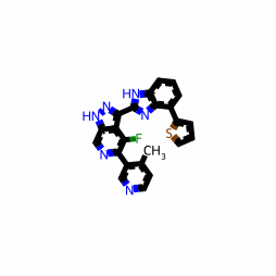 Cc1ccncc1-c1ncc2[nH]nc(-c3nc4c(-c5cccs5)cccc4[nH]3)c2c1F